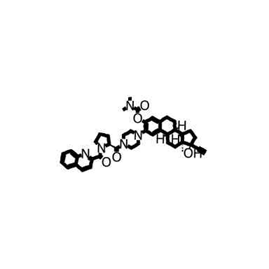 C#C[C@]1(O)CC[C@H]2[C@@H]3CCc4cc(OC(=O)N(C)C)c(N5CCN(C(=O)[C@@H]6CCCN6C(=O)c6ccc7ccccc7n6)CC5)cc4[C@H]3CC[C@@]21C